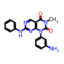 Cn1c(=O)c2cnc(Nc3ccccc3)nc2n(-c2cccc(N)c2)c1=O